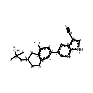 [2H]c1cc(-c2cnc3[nH]cc(C#C)c3c2)cc2c1CN(CC(C)(C)O)CC2